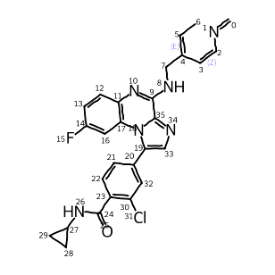 C=N/C=C\C(=C/C)CNc1nc2ccc(F)cc2n2c(-c3ccc(C(=O)NC4CC4)c(Cl)c3)cnc12